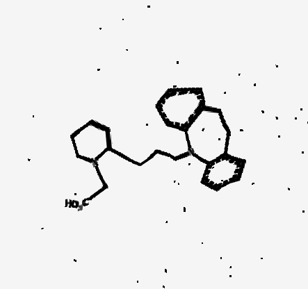 O=C(O)CN1CCCCC1CCCN1c2ccccc2CCc2ccccc21